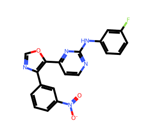 O=[N+]([O-])c1cccc(-c2ncoc2-c2ccnc(Nc3cccc(F)c3)n2)c1